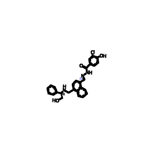 O=C(N/N=C/c1ccc(CN[C@@H](CO)c2ccccc2)c2ccccc12)c1ccc(O)c(Cl)c1